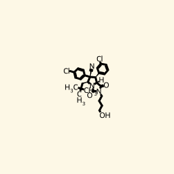 CC(C)(C)C[C@@H]1N2C(=O)N(CCCCO)C(=O)[C@H]2[C@H](c2cccc(Cl)c2)[C@@]1(C#N)c1ccc(Cl)cc1